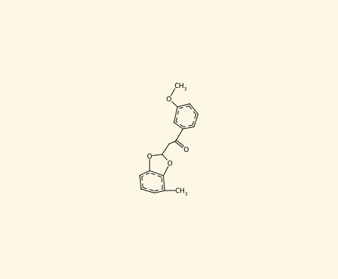 COc1cccc(C(=O)CC2Oc3cccc(C)c3O2)c1